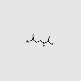 CC(C)C(=O)CCNC(=O)C(C)C